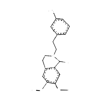 COc1cc2c(cc1OC)C(C)N(CCc1cccc(N)c1)CC2